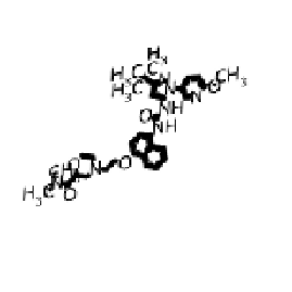 COc1ccc(-n2nc(C(C)(C)C)cc2NC(=O)Nc2ccc(OCCN3CCOC(C(=O)N(C)C)C3)c3ccccc23)cn1